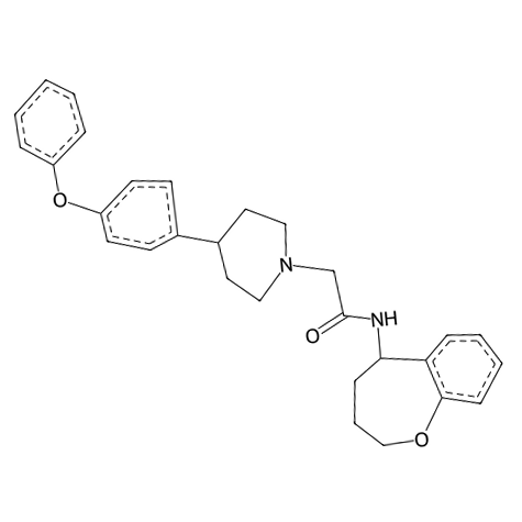 O=C(CN1CCC(c2ccc(Oc3ccccc3)cc2)CC1)NC1CCCOc2ccccc21